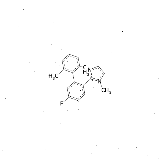 Cc1cccc(C)c1-c1cc(F)ccc1-c1nccn1C